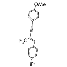 COc1ccc(C#CC(=Cc2ccc(C(C)C)cc2)C(F)(F)F)cc1